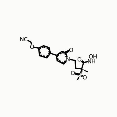 C[C@@](CCn1ccc(-c2ccc(OCC#N)cc2)cc1=O)(C(=O)NO)S(C)(=O)=O